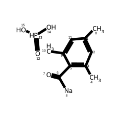 Cc1cc(C)c([C](=O)[Na])c(C)c1.O=[PH](O)O